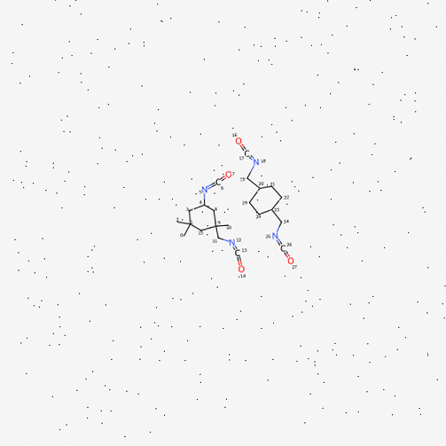 CC1(C)CC(N=C=O)CC(C)(CN=C=O)C1.O=C=NCC1CCC(CN=C=O)CC1